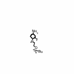 CN(CCO[Si](C)(C)C(C)(C)C)c1ccc(N)cc1F